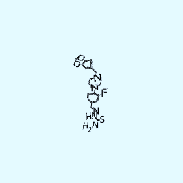 NC(=S)N/N=C/c1ccc(N2CCN(Cc3ccc4c(c3)OCO4)CC2)c(F)c1